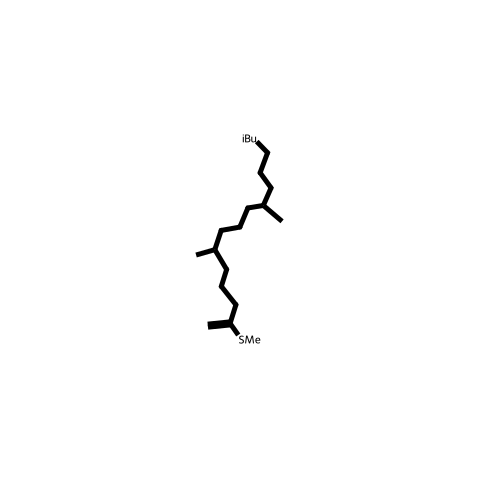 [CH2]CC(C)CCCC(C)CCCC(C)CCCC(=C)SC